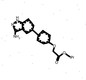 CC(C)OC(=O)COc1ccc(-c2ccc3[nH]nc(N)c3c2)cc1